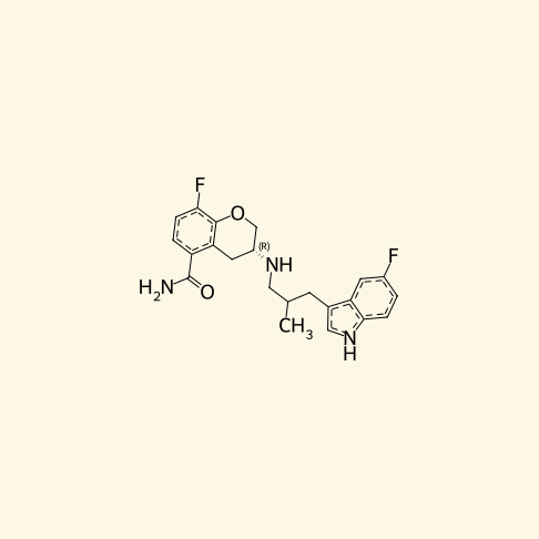 CC(CN[C@H]1COc2c(F)ccc(C(N)=O)c2C1)Cc1c[nH]c2ccc(F)cc12